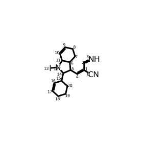 N#C/C(C=N)=C/C1C2CCC=CC2N(I)C1C1C=CCCC1